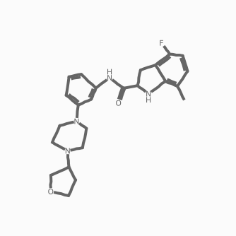 Cc1ccc(F)c2c1NC(C(=O)Nc1cccc(N3CCN(C4CCOC4)CC3)c1)C2